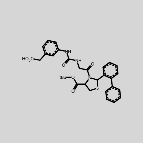 CC(C)(C)OC(=O)C1CSC(c2ccccc2-c2ccccc2)N1C(=O)CNC(=O)Nc1cccc(CC(=O)O)c1